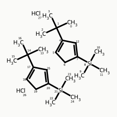 CC(C)(C)C1=CCC([Si](C)(C)C)=C1.CC(C)(C)C1=CCC([Si](C)(C)C)=C1.Cl.Cl